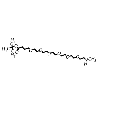 CNCCOCCOCCOCCOCCOCCOCCCC(=O)OC(C)(C)C